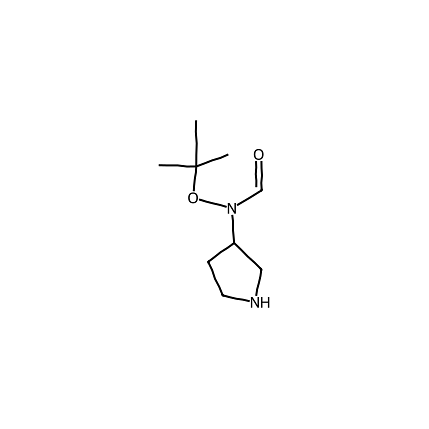 CC(C)(C)ON(C=O)C1CCNC1